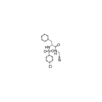 N#CCNC(=O)C(Cc1ccccc1)NS(=O)(=O)c1ccc(Cl)cc1